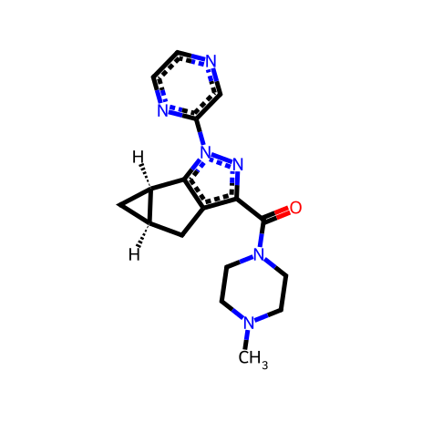 CN1CCN(C(=O)c2nn(-c3cnccn3)c3c2C[C@H]2C[C@@H]32)CC1